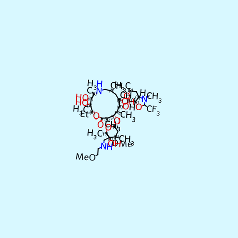 CC[C@H]1OC(=O)[C@H](C)[C@@H](O[C@H]2C[C@@](C)(OC)[C@](O)(CNCCOC)[C@H](C)O2)[C@H](C)[C@@H](O[C@@H]2O[C@H](C)C[C@H]3[C@H]2OC(C(F)(F)F)N3C)[C@](C)(O)C[C@@H](C)CN[C@H](C)[C@@H](O)[C@]1(C)O